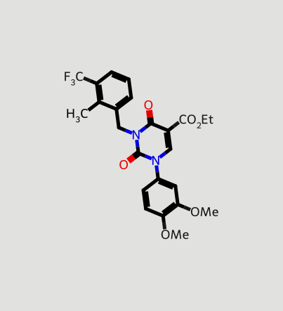 CCOC(=O)c1cn(-c2ccc(OC)c(OC)c2)c(=O)n(Cc2cccc(C(F)(F)F)c2C)c1=O